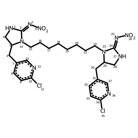 O=[N+]([O-])N=C1NCC(Cc2ccc(Cl)nc2)N1CCCCCCCCN1C(=N[N+](=O)[O-])NCC1Cc1ccc(Cl)nc1